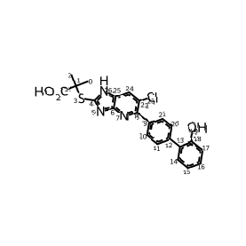 CC(C)(Sc1nc2nc(-c3ccc(-c4ccccc4O)cc3)c(Cl)cc2[nH]1)C(=O)O